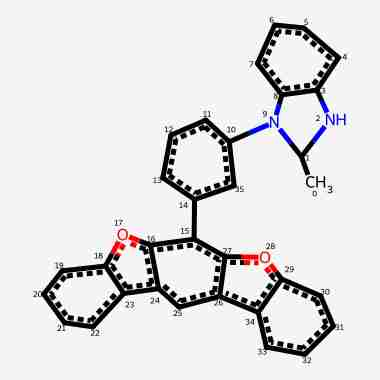 CC1Nc2ccccc2N1c1cccc(-c2c3oc4ccccc4c3cc3c2oc2ccccc23)c1